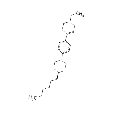 CCCCCC[C@H]1CC[C@H](c2ccc(C3=CCC(CC)CC3)cc2)CC1